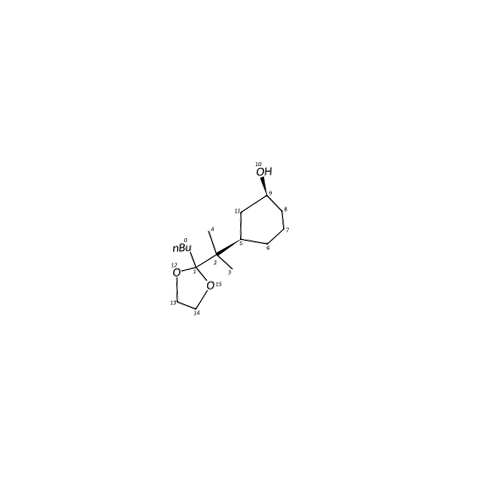 CCCCC1(C(C)(C)[C@@H]2CCC[C@H](O)C2)OCCO1